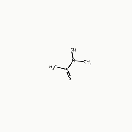 CN(S)S(C)=S